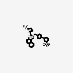 CS(=O)(=O)c1cccc(-c2ccc(CN(Cc3ccc(C(F)(F)F)o3)Cc3c(C#N)ccc4ccccc34)cc2)c1